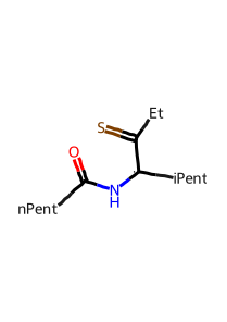 CCCCCC(=O)N[C](C(=S)CC)C(C)CCC